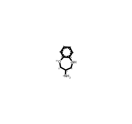 NC1CNc2ccccc2OC1